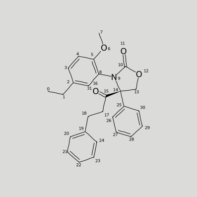 CCc1ccc(OC)c(N2C(=O)OC[C@]2(C(=O)CCc2ccccc2)c2ccccc2)c1